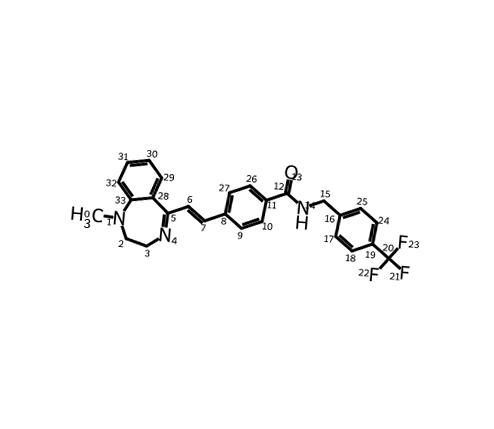 CN1CCN=C(C=Cc2ccc(C(=O)NCc3ccc(C(F)(F)F)cc3)cc2)c2ccccc21